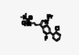 CC(C)Cn1cc(CCNS(=O)(=O)N(C)C)c2cc(F)c(-c3ccccc3Cl)cc21